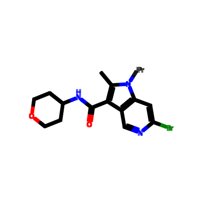 Cc1c(C(=O)NC2CCOCC2)c2cnc(Br)cc2n1C(C)C